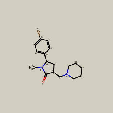 CN1C(=O)[C@H](CN2CCCCC2)C[C@@H]1c1ccc(Br)cc1